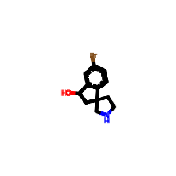 OC1CC2(CCNC2)c2ccc(Br)cc21